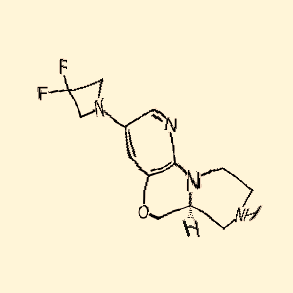 FC1(F)CN(c2cnc3c(c2)OC[C@@H]2CNCCN32)C1